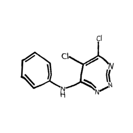 Clc1nnnc(Nc2ccccc2)c1Cl